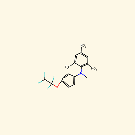 CN(c1ccc(OC(F)(F)C(F)F)cc1)c1c([N+](=O)[O-])cc([N+](=O)[O-])cc1C(F)(F)F